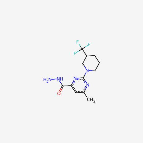 Cc1cc(C(=O)NN)nc(N2CCCC(C(F)(F)F)C2)n1